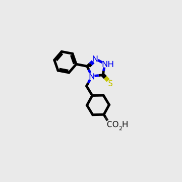 O=C(O)C1CCC(Cn2c(-c3ccccc3)n[nH]c2=S)CC1